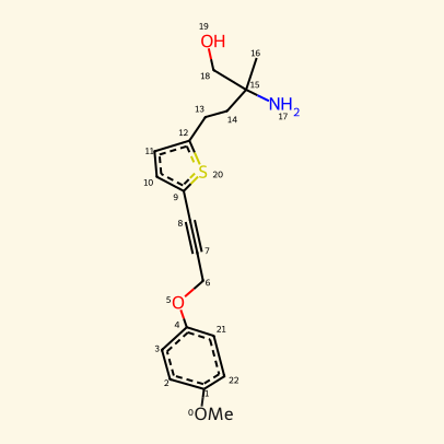 COc1ccc(OCC#Cc2ccc(CCC(C)(N)CO)s2)cc1